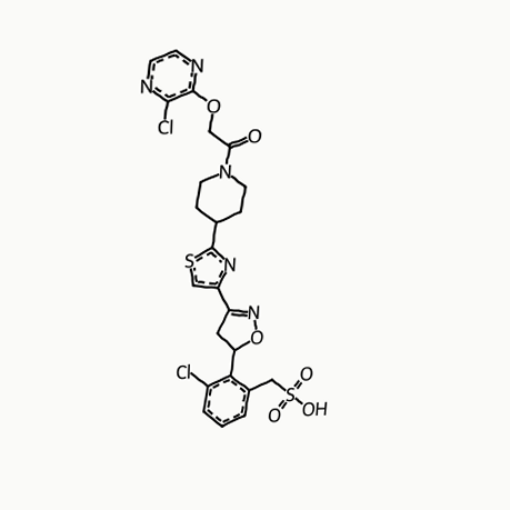 O=C(COc1nccnc1Cl)N1CCC(c2nc(C3=NOC(c4c(Cl)cccc4CS(=O)(=O)O)C3)cs2)CC1